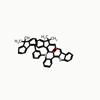 CC1(C)c2ccccc2-c2c(-c3cccc(N(c4ccccc4-c4cccc5c4sc4ccccc45)c4cccc5c4-c4ccccc4C5(C)C)c3)cccc21